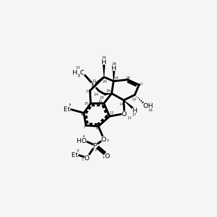 CCOP(=O)(O)Oc1cc(CC)c2c3c1O[C@H]1[C@@H](O)C=C[C@H]4[C@@H](C2)N(C)CC[C@@]341